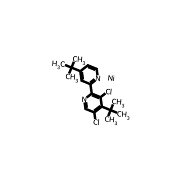 CC(C)(C)c1ccnc(-c2ncc(Cl)c(C(C)(C)C)c2Cl)c1.[Ni]